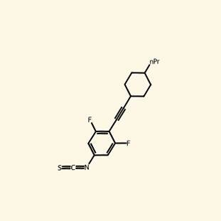 CCCC1CCC(C#Cc2c(F)cc(N=C=S)cc2F)CC1